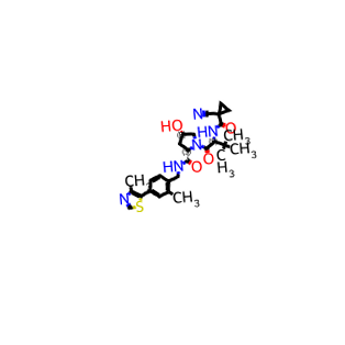 Cc1cc(-c2scnc2C)ccc1CNC(=O)[C@@H]1C[C@@H](O)CN1C(=O)[C@@H](NC(=O)C1(C#N)CC1)C(C)(C)C